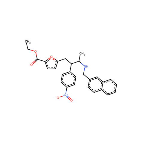 CCOC(=O)c1ccc(CC(c2ccc([N+](=O)[O-])cc2)C(C)NCc2ccc3ccccc3c2)o1